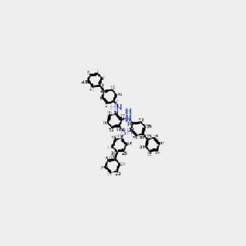 c1ccc(-c2ccc(Nc3cccc(Nc4ccc(-c5ccccc5)cc4)c3Nc3ccc(-c4ccccc4)cc3)cc2)cc1